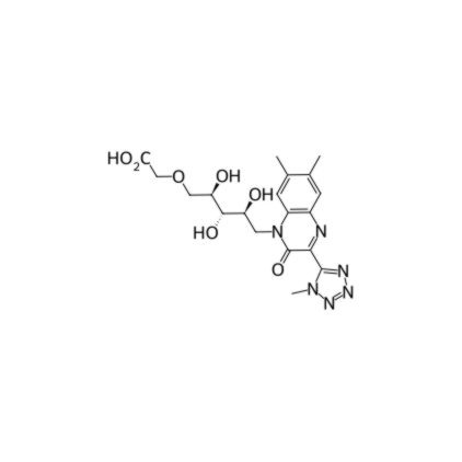 Cc1cc2nc(-c3nnnn3C)c(=O)n(C[C@H](O)[C@H](O)[C@H](O)COCC(=O)O)c2cc1C